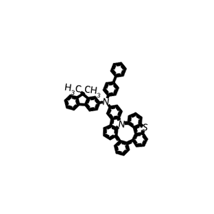 CC1(C)c2ccccc2-c2ccc(N(c3ccc(-c4ccccc4)cc3)c3ccc4c(c3)c3cccc5c6ccccc6c6cccc7sc8cccc(c8c76)n4c53)cc21